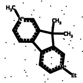 CC[n+]1ccc2c(c1)C(C)(C)c1c[n+](C)ccc1-2